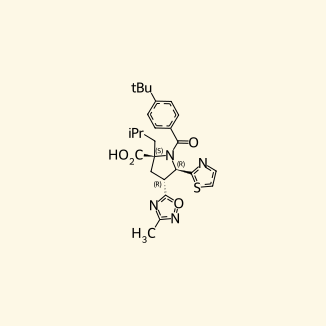 Cc1noc([C@@H]2C[C@@](CC(C)C)(C(=O)O)N(C(=O)c3ccc(C(C)(C)C)cc3)[C@H]2c2nccs2)n1